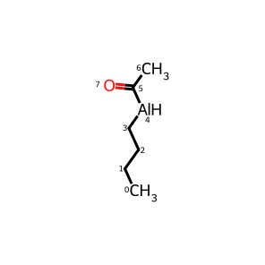 CCC[CH2][AlH][C](C)=O